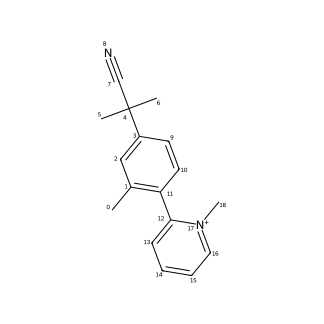 Cc1cc(C(C)(C)C#N)ccc1-c1cccc[n+]1C